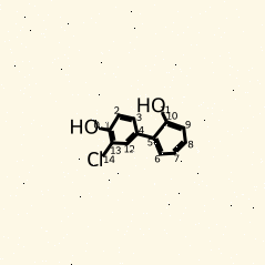 Oc1ccc(-c2ccccc2O)cc1Cl